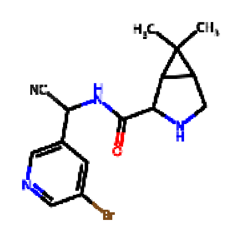 CC1(C)C2CNC(C(=O)NC(C#N)c3cncc(Br)c3)C21